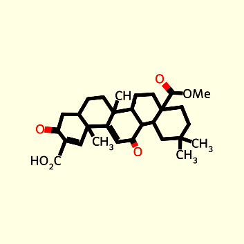 COC(=O)C12CCC3C(C(=O)C=C4C5(C)C=C(C(=O)O)C(=O)CC5CCC43C)C1CC(C)(C)CC2